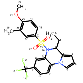 CCC1c2cccn2-c2ccc(C(F)(F)F)cc2N1S(=O)(=O)c1ccc(OC)c(C)c1